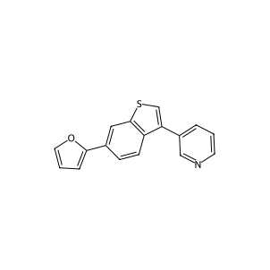 c1cncc(-c2csc3cc(-c4ccco4)ccc23)c1